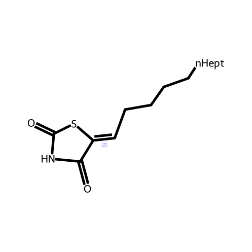 CCCCCCCCCCC/C=C1\SC(=O)NC1=O